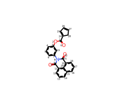 O=C(Oc1cccc(N2C(=O)c3cccc4cccc(c34)C2=O)c1)C1=CC=CC1